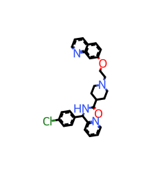 O=C(NC(c1ccc(Cl)cc1)c1ccccn1)C1CCN(CCOc2ccc3cccnc3c2)CC1